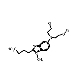 CCOCCN(CCCl)c1ccc2c(c1)nc(CCCC(=O)O)n2C